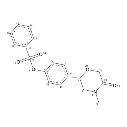 CN1C[C@H](c2ccc(OS(=O)(=O)c3ccccc3)cc2)OCC1=O